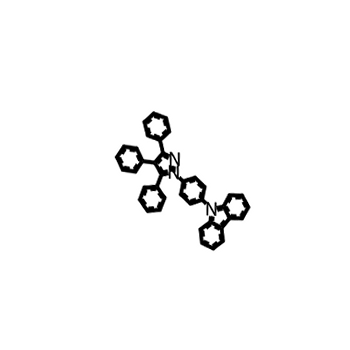 c1ccc(-c2nn(-c3ccc(-n4c5ccccc5c5ccccc54)cc3)c(-c3ccccc3)c2-c2ccccc2)cc1